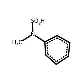 CN(c1cc[c]cc1)S(=O)(=O)O